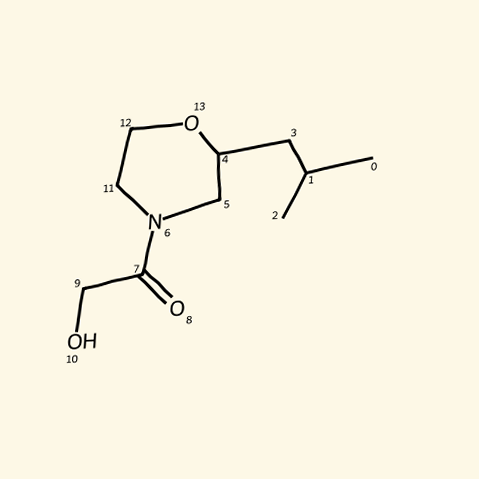 CC(C)CC1CN(C(=O)CO)CCO1